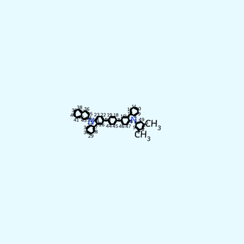 Cc1cc(C)cc(-n2c3ccccc3c3cc(-c4ccc(-c5ccc6c(c5)c5ccccc5n6-c5ccc6ccccc6c5)cc4)ccc32)c1